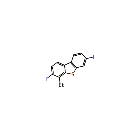 CCc1c(I)ccc2c1sc1cc(I)ccc12